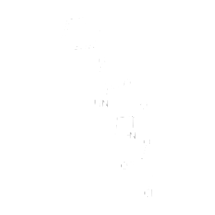 O=C(COc1ccccc1)NC1CN(OC(=O)CCl)C1=O